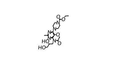 CCOC(=O)N1CCN(c2nc(C)nc3c2OCC(=O)N3CC(O)CO)CC1